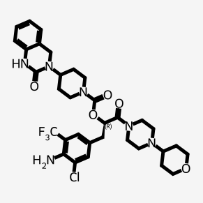 Nc1c(Cl)cc(C[C@@H](OC(=O)N2CCC(N3Cc4ccccc4NC3=O)CC2)C(=O)N2CCN(C3CCOCC3)CC2)cc1C(F)(F)F